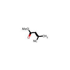 COC(=O)/C=C(/C)C#N